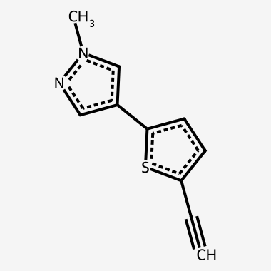 C#Cc1ccc(-c2cnn(C)c2)s1